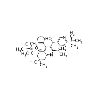 CC(C)c1nc2c(c(C3=CCCC3)c1C(O)c1cnc(C(C)(C)C)nc1)[C@H](O[Si](C)(C)C(C)(C)C)CC(C)(C)C2